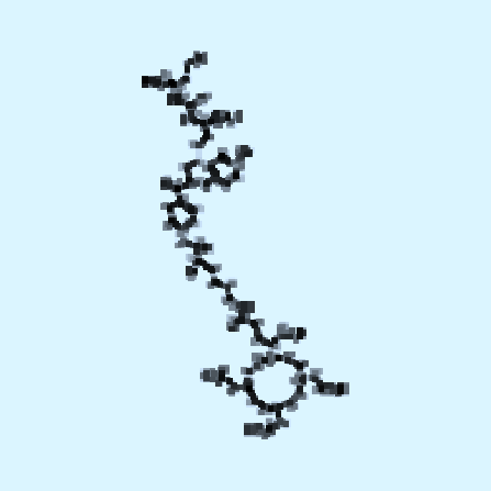 CC(=O)CC[C@@H](NC(=O)N[C@H](CCCCN(Cc1ccc(Br)cc1)C(=O)c1ccc(CNC(=O)CCCCNC(=O)CCC(C(=O)O)N2CCN(CC(=O)O)CCN(CC(=O)O)CCN(CC(=O)O)CC2)cc1)C(=O)O)C(=O)O